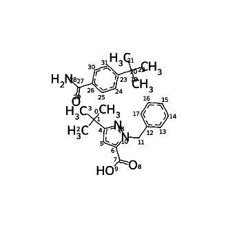 CC(C)(C)c1cc(C(=O)O)n(Cc2ccccc2)n1.CC(C)(C)c1ccc(C(N)=O)cc1